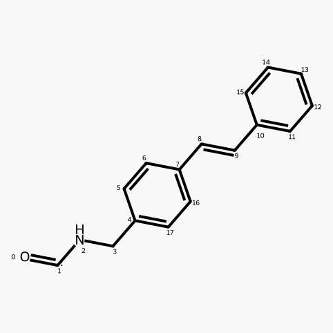 O=[C]NCc1ccc(/C=C/c2ccccc2)cc1